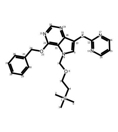 C[Si](C)(C)CCOCn1cc(Sc2ncccn2)c2ncnc(OCc3ccccc3)c21